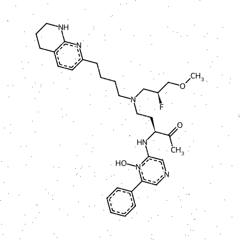 COC[C@@H](F)CN(CCCCc1ccc2c(n1)NCCC2)CC[C@H](Nc1cncc(-c2ccccc2)[n+]1O)C(C)=O